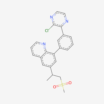 CC(CS(C)(=O)=O)c1cc(-c2cccc(-c3nccnc3Cl)c2)c2ncccc2c1